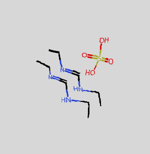 CCN=CNCC.CCN=CNCC.O=S(=O)(O)O